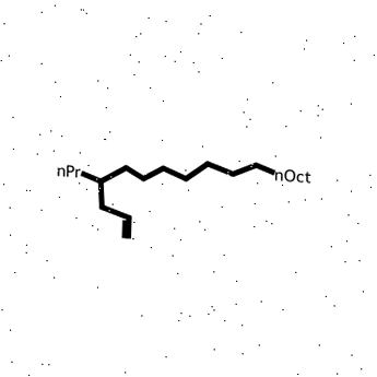 [CH]=CCC(CCC)CCCCCCCCCCCCCCC